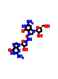 Nc1cc2c(c(=O)[nH]1)N(ONN1C[C@@H](O)[C@H](n3cnc4c(=O)[nH]c(N)nc43)O1)CN2[C@@H]1O[C@H](CO)C[C@H]1O